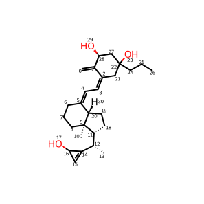 C=C1/C(=C\C=C2\CCC[C@]3(C)[C@@H]([C@H](C)C4=CC4O)CC[C@@H]23)CC(O)(CCC)C[C@@H]1O